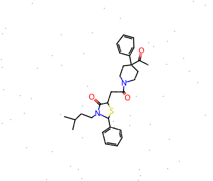 CC(=O)C1(c2ccccc2)CCN(C(=O)CC2SC(c3ccccc3)N(CCC(C)C)C2=O)CC1